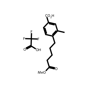 COC(=O)CCCCc1ccc(C(=O)O)cc1C.O=C(O)C(F)(F)F